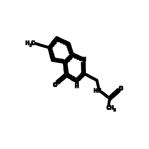 CC(=O)NCc1nc2ccc(C)cc2c(=O)[nH]1